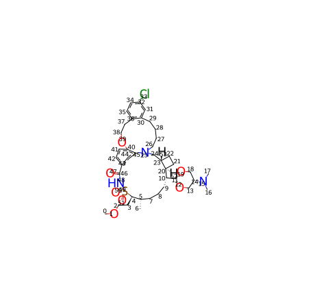 COCC[C@@H]1[C@@H](C)CCC[C@@H]([C@H]2OC[C@@H](N(C)C)CO2)[C@@H]2CC[C@H]2CN2CCCCc3cc(Cl)ccc3CCOc3ccc(cc32)C(=O)NS1(=O)=O